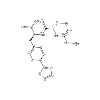 COC(=O)[C@H](Cc1ccc(-c2ccco2)cc1)NC(=O)[C@H](CC(C)C)NC(=O)OC(C)(C)C